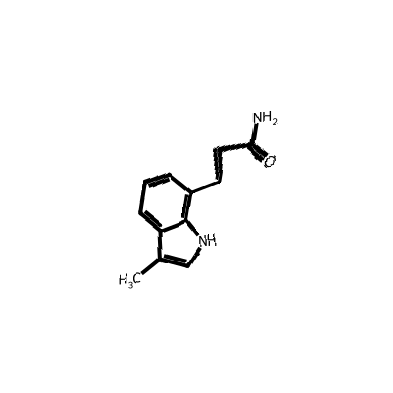 Cc1c[nH]c2c(C=CC(N)=O)cccc12